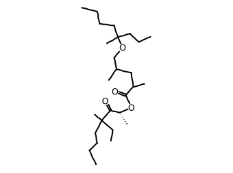 CCCCC(C)(CCC)OCC(C)CC(C)C(=O)O[C@H](C)C(=O)C(C)(CC)CCCC